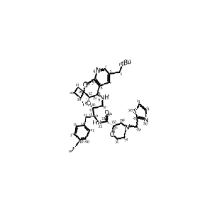 CC(C)(C)Cc1cnc2c(c1)[C@@H](NC[C@@H](O)[C@H](Cc1ccc(F)cc1)NC(=O)[C@@H]1CN(Cc3nccs3)CCO1)CC1(CCC1)O2